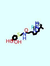 CC/C=C(/C)C1=Cc2ccc(CCC(=O)NCCSc3ccc(O)c(O)c3)n2B(F)N1